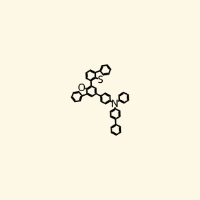 c1ccc(-c2ccc(N(c3ccccc3)c3ccc(-c4cc(-c5cccc6c5sc5ccccc56)c5oc6ccccc6c5c4)cc3)cc2)cc1